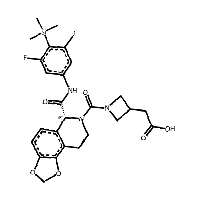 C[Si](C)(C)c1c(F)cc(NC(=O)[C@H]2c3ccc4c(c3CCN2C(=O)N2CC(CC(=O)O)C2)OCO4)cc1F